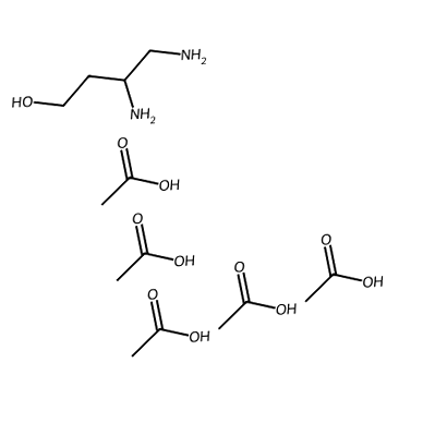 CC(=O)O.CC(=O)O.CC(=O)O.CC(=O)O.CC(=O)O.NCC(N)CCO